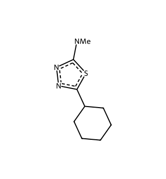 CNc1nnc(C2CCCCC2)s1